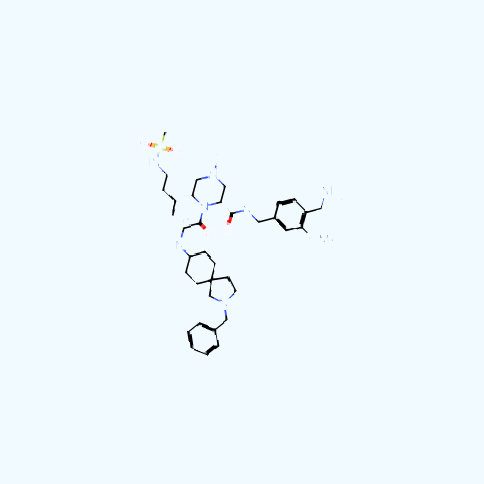 COc1cc(CNC(=O)[C@@H]2CN(C(=O)O)CCN2C(=O)[C@@H](CCCCNS(C)(=O)=O)NC2CCC3(CC2)CCN(Cc2ccccc2)C3)ccc1CN